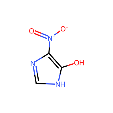 O=[N+]([O-])c1nc[nH]c1O